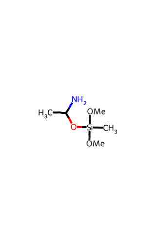 CO[Si](C)(OC)OC(C)N